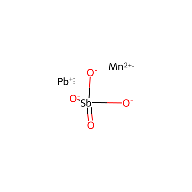 [Mn+2].[O]=[Sb]([O-])([O-])[O-].[Pb+]